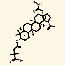 C=C(C)[C@@H]1CC[C@]2(CC(=O)NC)CC[C@]3(C)[C@H](CC[C@@H]4[C@@]5(C)CC[C@H](OC(=O)CC(C)(C)C(=O)O)C(C)(C)[C@@H]5CC[C@]43C)[C@@H]12